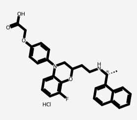 C[C@@H](NCCC1CN(c2ccc(OCC(=O)O)cc2)c2cccc(F)c2O1)c1cccc2ccccc12.Cl